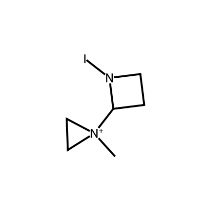 C[N+]1(C2CCN2I)CC1